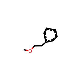 COCCc1c[c]ccc1